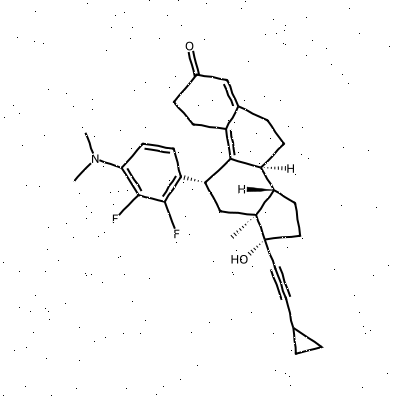 CN(C)c1ccc([C@H]2C[C@@]3(C)[C@@H](CC[C@@]3(O)C#CC3CC3)[C@@H]3CCC4=CC(=O)CCC4=C32)c(F)c1F